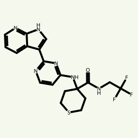 O=C(NCC(F)(F)F)C1(Nc2ccnc(-c3c[nH]c4ncccc34)n2)CCSCC1